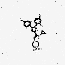 OS1(O)CCN(N=C(NC2CC2)c2cc(-c3ccc(Cl)cc3)n(-c3ccc(Cl)cc3Cl)n2)CC1